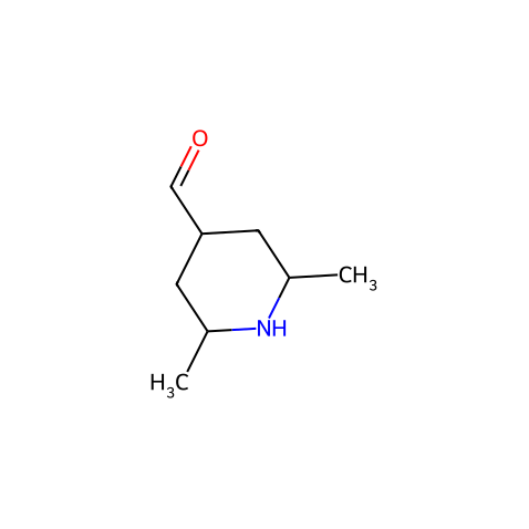 CC1CC(C=O)CC(C)N1